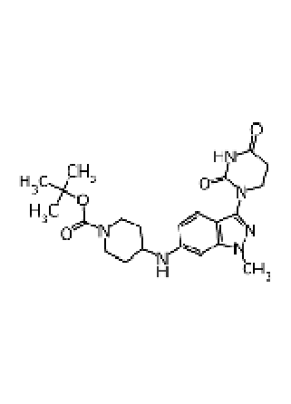 Cn1nc(N2CCC(=O)NC2=O)c2ccc(NC3CCN(C(=O)OC(C)(C)C)CC3)cc21